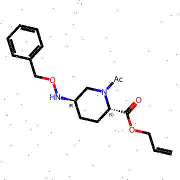 C=CCOC(=O)[C@@H]1CC[C@@H](NOCc2ccccc2)CN1C(C)=O